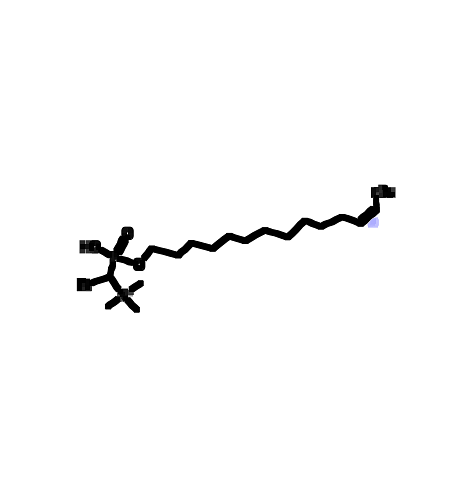 CCCC/C=C\CCCCCCCCCCCOP(=O)(O)C(CC)[N+](C)(C)C